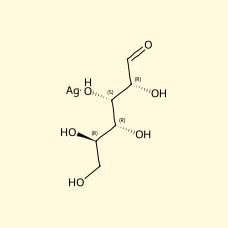 O=C[C@H](O)[C@@H](O)[C@H](O)[C@H](O)CO.[Ag]